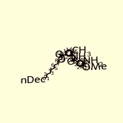 CCCCCCCCCCCCCCCCCCOC(=O)c1ccc(C)c(NC(=O)c2ccc(OC)c(N)c2)c1